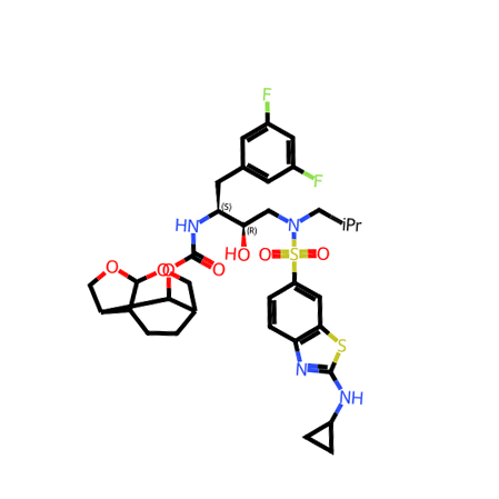 CC(C)CN(C[C@@H](O)[C@H](Cc1cc(F)cc(F)c1)NC(=O)OC1C2CCC3C(OC2)OCC31)S(=O)(=O)c1ccc2nc(NC3CC3)sc2c1